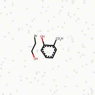 CC(C)CCO.O=C(O)c1ccccc1O